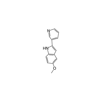 COc1ccc2[nH]c(-c3cccnc3)cc2c1